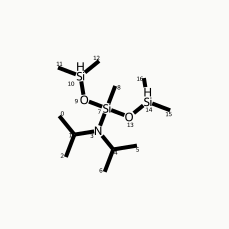 CC(C)N(C(C)C)[Si](C)(O[SiH](C)C)O[SiH](C)C